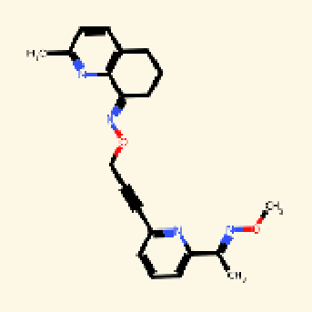 CON=C(C)c1cccc(C#CCON=C2CCCc3ccc(C)nc32)n1